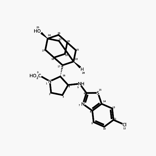 O=C(O)N1CCC(Nc2nc3ccc(Cl)cc3s2)[C@H]1C1C2CC3C[C@H]1C[C@@](O)(C3)C2